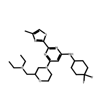 CCN(CC)CC1CN(c2cc(NC3CCC(F)(F)CC3)nc(-c3nc(C)cs3)n2)CCO1